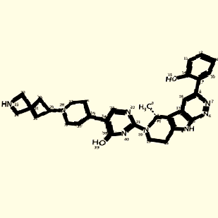 C[C@@H]1c2c([nH]c3nnc(-c4ccccc4O)cc23)CCN1c1ncc(C2CCN(C3CC4(CNC4)C3)CC2)c(O)n1